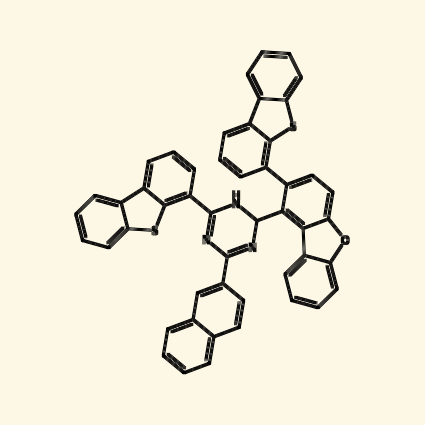 c1ccc2cc(C3=NC(c4c(-c5cccc6c5sc5ccccc56)ccc5oc6ccccc6c45)NC(c4cccc5c4sc4ccccc45)=N3)ccc2c1